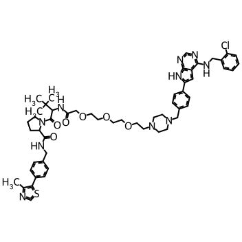 Cc1ncsc1-c1ccc(CNC(=O)C2CCCN2C(=O)C(NC(=O)COCCOCCOCCN2CCN(Cc3ccc(-c4cc5c(NCc6ccccc6Cl)ncnc5[nH]4)cc3)CC2)C(C)(C)C)cc1